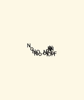 N#Cc1ccc(N2CCN(Cc3ccc(-c4ccc(C(F)(F)[C@]5(O)Cn6nnnc6-c6cc(F)ccc65)nc4)cc3)C(=O)C2)cc1